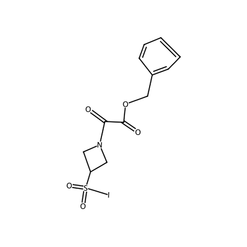 O=C(OCc1ccccc1)C(=O)N1CC(S(=O)(=O)I)C1